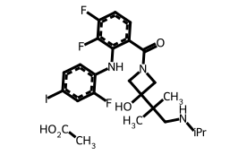 CC(=O)O.CC(C)NCC(C)(C)C1(O)CN(C(=O)c2ccc(F)c(F)c2Nc2ccc(I)cc2F)C1